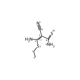 CCS/C(N)=C(/C#N)C(N)=S